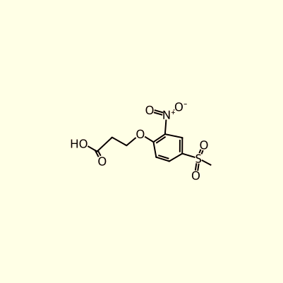 CS(=O)(=O)c1ccc(OCCC(=O)O)c([N+](=O)[O-])c1